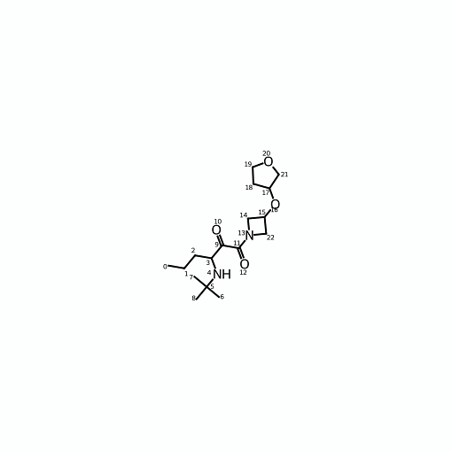 CCCC(NC(C)(C)C)C(=O)C(=O)N1CC(OC2CCOC2)C1